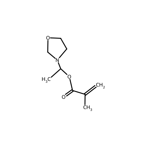 C=C(C)C(=O)OC(C)N1CCOC1